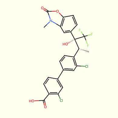 C[C@H](c1ccc(-c2ccc(C(=O)O)c(Cl)c2)cc1Cl)[C@@](O)(c1ccc2oc(=O)n(C)c2c1)C(F)(F)F